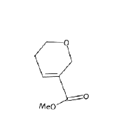 COC(=O)C1=CCCOC1